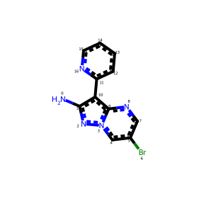 Nc1nn2cc(Br)cnc2c1-c1ccccn1